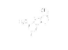 [CH2]c1cccc2c1sc1c([CH2])cc(F)cc12